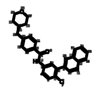 O=C(Nc1ccc(Cl)c(-c2cnc3ccccc3n2)c1)c1ccc(CN2CCOCC2)cc1